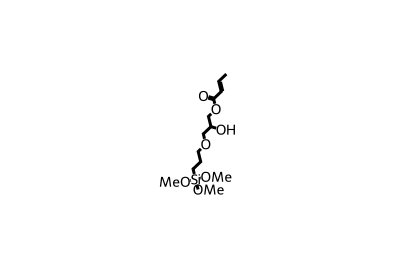 CC=CC(=O)OCC(O)COCCC[Si](OC)(OC)OC